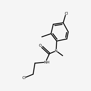 Cc1cc(Cl)ccc1N(C)C(=O)NCCCl